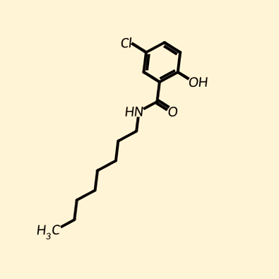 CCCCCCCCNC(=O)c1cc(Cl)ccc1O